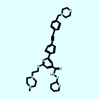 CN1CCN(CCOc2cc(C(=O)NOC3CCCCO3)cc(-c3ccc(C#Cc4ccc(CN5CCOCC5)cc4)cc3)n2)CC1